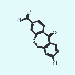 O=C(Cl)c1ccc2c(c1)SCc1cc(Cl)ccc1C2=O